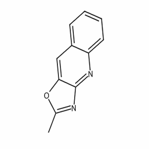 Cc1nc2nc3ccccc3cc2o1